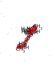 COc1cccc2c1C(=O)c1c(O)c3c(c(O)c1C2=O)CC(O)(/C(CO)=N/NC(=O)CCOCCOCCOCCOCCNC(=O)COc1ccc(Cn2c(=O)oc4ccc(C)cc42)cc1O)CC3OC1CC(N)C(O)C(C)O1